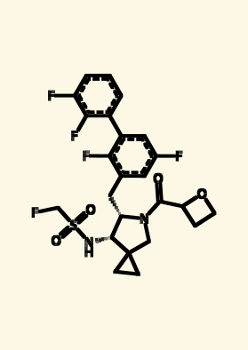 O=C(C1CCO1)N1CC2(CC2)[C@H](NS(=O)(=O)CF)[C@@H]1Cc1cc(F)cc(-c2cccc(F)c2F)c1F